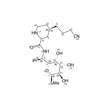 CS[C@H]1O[C@H]([C@H](NC(=O)C2C[C@H](CCCC#N)CCN2)C(C)C)[C@H](O)[C@H](O)[C@H]1O